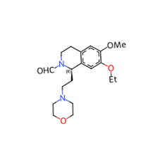 CCOc1cc2c(cc1OC)CCN(C=O)[C@@H]2CCN1CCOCC1